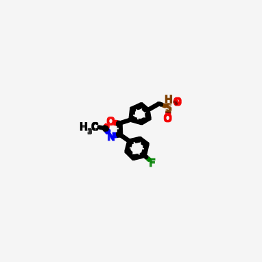 Cc1nc(-c2ccc(F)cc2)c(-c2ccc(C[SH](=O)=O)cc2)o1